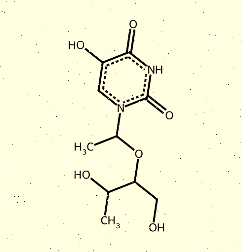 CC(O)C(CO)OC(C)n1cc(O)c(=O)[nH]c1=O